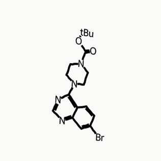 CC(C)(C)OC(=O)N1CCN(c2ncnc3cc(Br)ccc23)CC1